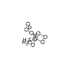 CC1(C)c2ccccc2-c2ccc(N(c3ccc(-c4cccc5c4oc4ccccc45)cc3)c3cccc4c3-c3ccccc3Cc3ccccc3-c3ccccc3C4)cc21